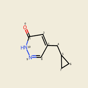 O=c1cc(CC2CC2)[c]n[nH]1